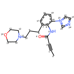 CC#CC(=O)Nc1c(CCCN2CCOCC2)cccc1-n1ccnc1